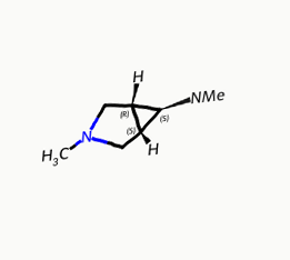 CN[C@H]1[C@@H]2CN(C)C[C@@H]21